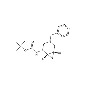 CC(C)(C)OC(=O)N[C@@H]1CN(Cc2ccccc2)C[C@@H]2C[C@@H]21